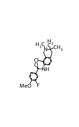 COc1ccc(C(=O)Nc2ccc3c(c2Cl)CN(C)C(C)(C)C3)cc1F